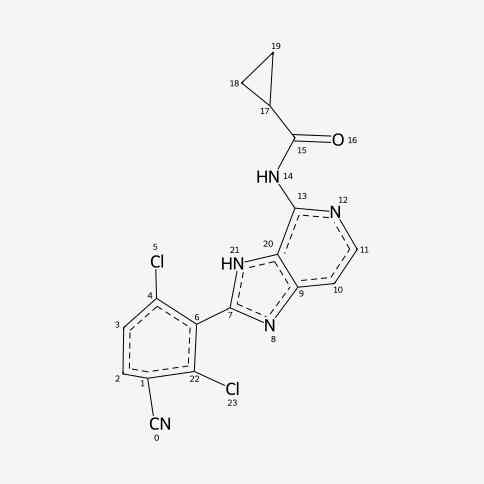 N#Cc1ccc(Cl)c(-c2nc3ccnc(NC(=O)C4CC4)c3[nH]2)c1Cl